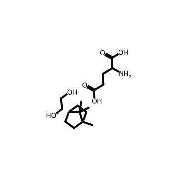 CC12CCC(CC1)C2(C)C.NC(CCC(=O)O)C(=O)O.OCCO